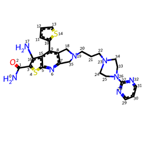 NC(=O)c1sc2nc3c(c(-c4cccs4)c2c1N)CN(CCCN1CCN(c2ncccn2)CC1)C3